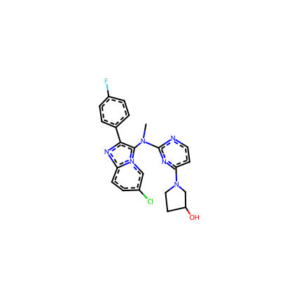 CN(c1nccc(N2CCC(O)C2)n1)c1c(-c2ccc(F)cc2)nc2ccc(Cl)cn12